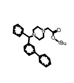 CC(C)(C)OC(=O)CN1CCN(C(c2ccccc2)c2cccc(-c3ccccc3)c2)CC1